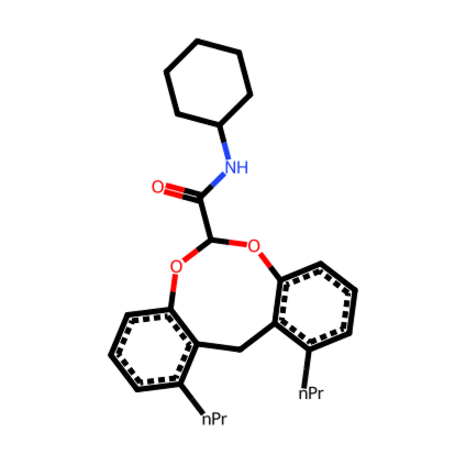 CCCc1cccc2c1Cc1c(CCC)cccc1OC(C(=O)NC1CCCCC1)O2